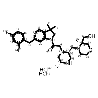 C[C@@H]1CN(CC(=O)N2CC(C)(C)c3cnc(Cc4ccc(F)cc4F)cc32)[C@@H](CN2CCOC[C@]2(C)CO)CN1.Cl.Cl